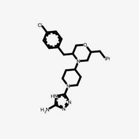 CC(C)CC1CN(C2CCN(c3nnc(N)[nH]3)CC2)C(Cc2ccc(Cl)cc2)CO1